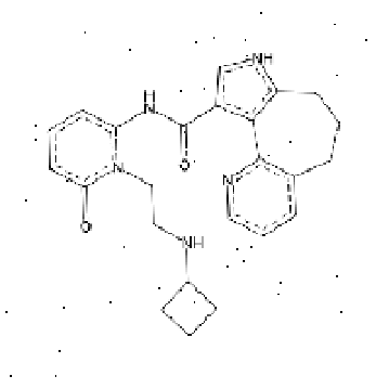 O=C(Nc1cccc(=O)n1CCNC1CCC1)c1c[nH]c2c1-c1ncccc1CCC2